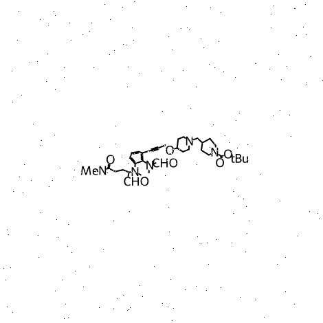 CNC(=O)CCC(C=O)N(C)c1cccc(C#CCOC2CCN(CC3CCN(C(=O)OC(C)(C)C)CC3)CC2)c1N(C)C=O